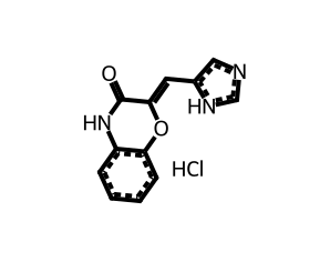 Cl.O=C1Nc2ccccc2OC1=Cc1cnc[nH]1